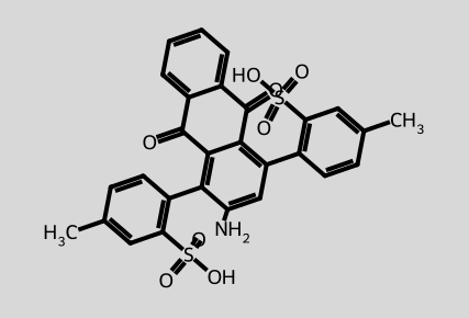 Cc1ccc(-c2cc(N)c(-c3ccc(C)cc3S(=O)(=O)O)c3c2C(=O)c2ccccc2C3=O)c(S(=O)(=O)O)c1